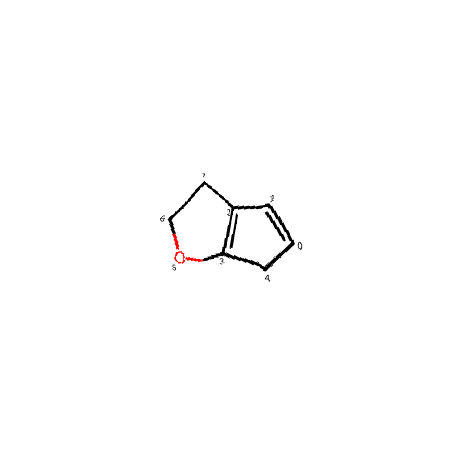 C1=CC2=C(C1)OCC2